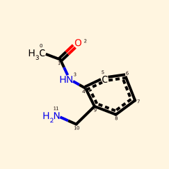 CC(=O)Nc1ccccc1CN